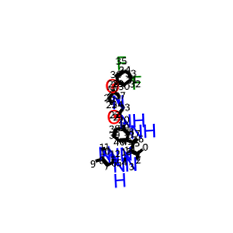 Cc1cnc(Nc2cc(C)n(C)n2)nc1-c1c[nH]c2c(NC(=O)CN3CCC(Oc4cc(F)cc(F)c4)C3)cccc12